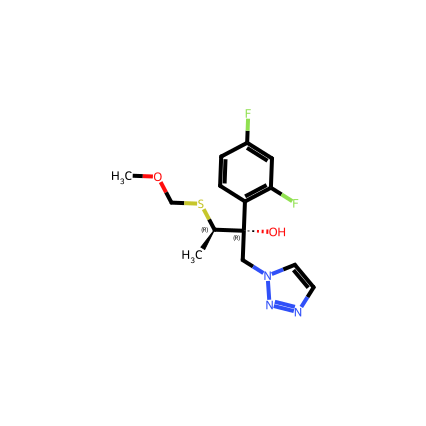 COCS[C@H](C)[C@](O)(Cn1ccnn1)c1ccc(F)cc1F